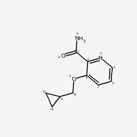 NC(=O)c1ncccc1OCC1CC1